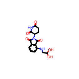 O=C1CCC(N2C(=O)c3cccc(NCC(O)O)c3C2=O)C(=O)N1